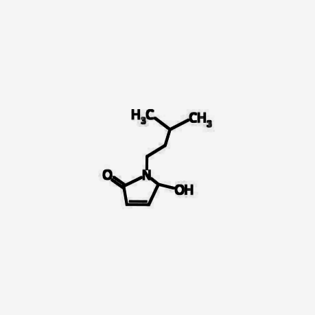 CC(C)CCN1C(=O)C=CC1O